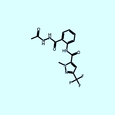 CC(=O)NNC(=O)c1ccccc1NC(=O)c1cc(C(F)(F)F)nn1C